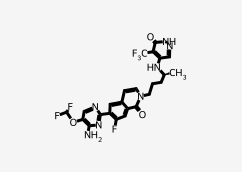 C[C@@H](CCCn1ccc2cc(-c3ncc(OC(F)F)c(N)n3)c(F)cc2c1=O)Nc1cn[nH]c(=O)c1C(F)(F)F